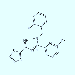 N=C(/N=C(\NCc1ccccc1F)c1cccc(Br)n1)c1nccs1